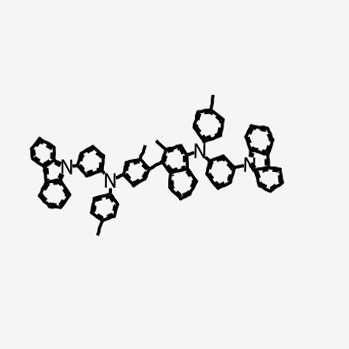 Cc1ccc(N(c2cccc(-n3c4ccccc4c4ccccc43)c2)c2ccc(-c3c(C)cc(N(c4ccc(C)cc4)c4cccc(-n5c6ccccc6c6ccccc65)c4)c4ccccc34)c(C)c2)cc1